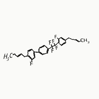 C/C=C/CCc1ccc(C(F)(F)C(F)(F)c2ccc(-c3ccc(C/C=C/CC)c(F)c3)cc2)c(F)c1